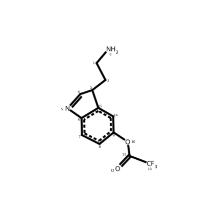 NCCC1C=Nc2ccc(OC(=O)C(F)(F)F)cc21